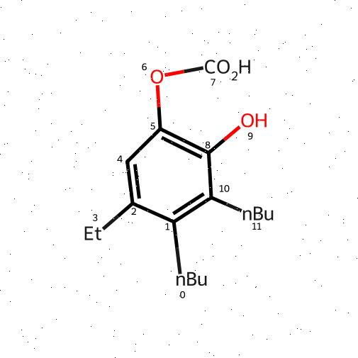 CCCCc1c(CC)cc(OC(=O)O)c(O)c1CCCC